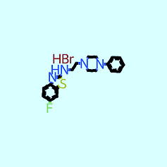 Br.Fc1ccc2nc(NCCN3CCN(c4ccccc4)CC3)sc2c1